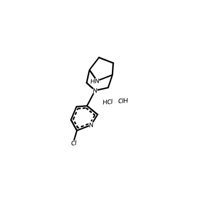 Cl.Cl.Clc1ccc(N2CC3CCC(C2)N3)cn1